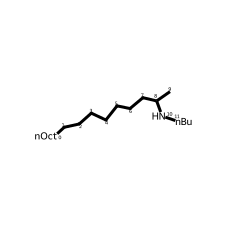 CCCCCCCCCCCCCCCC(C)NCCCC